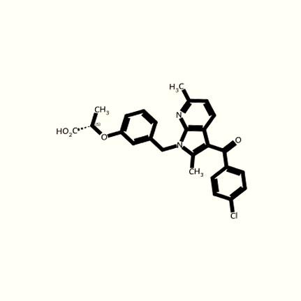 Cc1ccc2c(C(=O)c3ccc(Cl)cc3)c(C)n(Cc3cccc(O[C@@H](C)C(=O)O)c3)c2n1